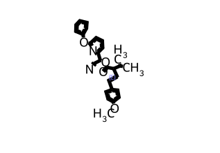 COc1ccc(/C=C/C(C(=O)OC(C#N)c2cccc(Oc3ccccc3)n2)C(C)C)cc1